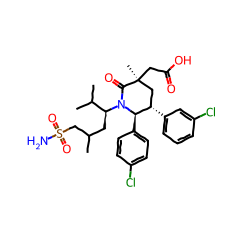 CC(C[C@@H](C(C)C)N1C(=O)[C@@](C)(CC(=O)O)C[C@H](c2cccc(Cl)c2)[C@H]1c1ccc(Cl)cc1)CS(N)(=O)=O